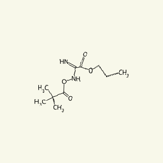 CCCOC(=O)C(=N)NOC(=O)C(C)(C)C